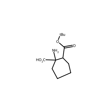 CC(C)(C)OC(=O)C1CCCCC1(N)C(=O)O